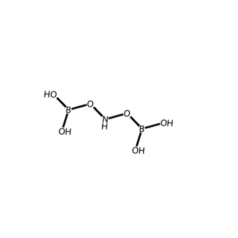 OB(O)ONOB(O)O